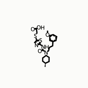 COc1cccc(CCCN(C(=O)Nc2ncc(SCC(=O)O)s2)[C@H]2CC[C@H](C)CC2)c1